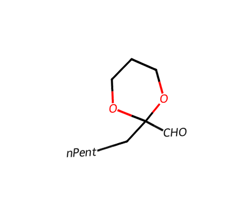 CCCCCCC1(C=O)OCCCO1